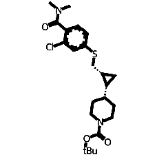 CN(C)C(=O)c1ccc(SC[C@@H]2C[C@@H]2C2CCN(C(=O)OC(C)(C)C)CC2)cc1Cl